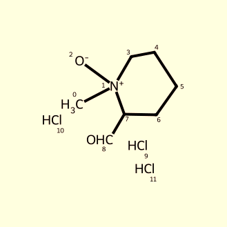 C[N+]1([O-])CCCCC1C=O.Cl.Cl.Cl